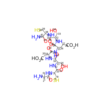 CC(C)(N)C(=O)NC(CS)C(=O)NC(CO)C(=O)NC(CC(=O)O)C(=O)NC(CCC(=O)O)C(=O)NC(CO)C(=O)NC(CS)C(N)=O